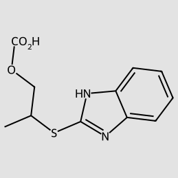 CC(COC(=O)O)Sc1nc2ccccc2[nH]1